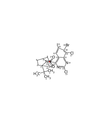 CC(C)(C)C12CCC(CN(c3nc(Cl)nc4c(Cl)c(Br)c(I)cc34)C1)N2C(=O)O